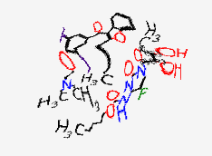 CCCCCOC(=O)Nc1nc(=O)n([C@@H]2O[C@H](C)[C@@H](O)[C@H]2O)cc1F.CCCCc1oc2ccccc2c1C(=O)c1cc(I)c(OCCN(CC)CC)c(I)c1